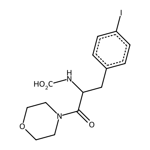 O=C(O)NC(Cc1ccc(I)cc1)C(=O)N1CCOCC1